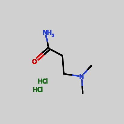 CN(C)CCC(N)=O.Cl.Cl